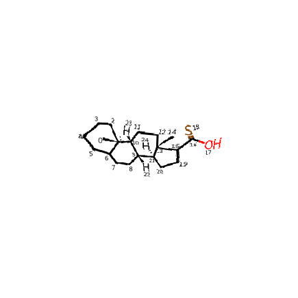 C[C@]12CCCCC1CC[C@@H]1[C@H]2CC[C@]2(C)C(C(O)=S)CC[C@@H]12